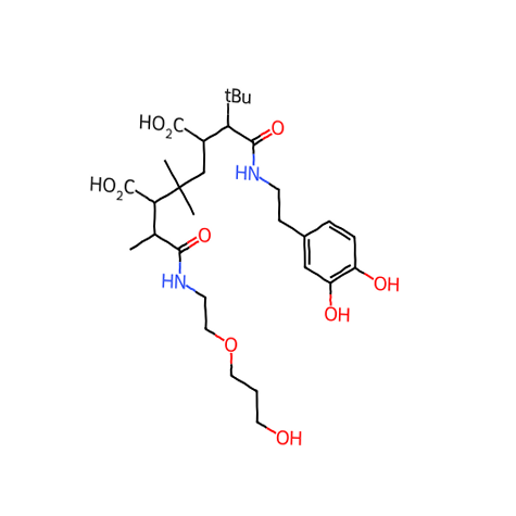 CC(C(=O)NCCOCCCO)C(C(=O)O)C(C)(C)CC(C(=O)O)C(C(=O)NCCc1ccc(O)c(O)c1)C(C)(C)C